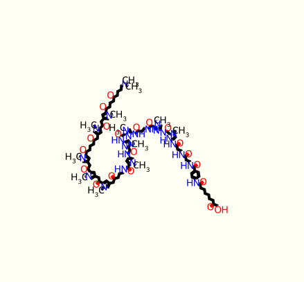 CN(C)CCCCC(=O)CCCC(=O)c1cc(CC(=O)c2cc(CC(=O)CCCC(=O)c3cc(CC(=O)c4cc(CC(=O)c5cc(CC(=O)CCCNC(=O)c6cc(NC(=O)c7nc(NC(=O)c8nc(NC(=O)CCNC(=O)c9nc(NC(=O)c%10nc(NC(=O)CCNC(=O)CCNC(=O)c%11ccc(NC(=O)CCCCCCC(=O)CO)cc%11)cn%10C)cn9C)cn8C)cn7C)cn6C)cn5C)cn4C)cn3C)cn2C)cn1C